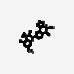 CCC(C)OC(=O)c1ccc(NC(=O)C2(c3ccc(C)cc3F)CC2)cc1-c1nnn[nH]1